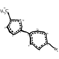 Cc1ccc(-c2ccc(Br)cc2)s1